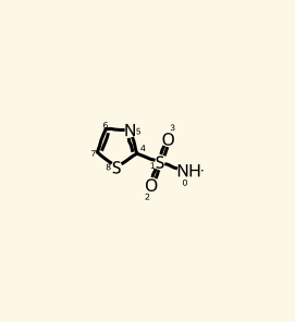 [NH]S(=O)(=O)c1nccs1